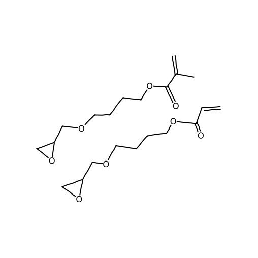 C=C(C)C(=O)OCCCCOCC1CO1.C=CC(=O)OCCCCOCC1CO1